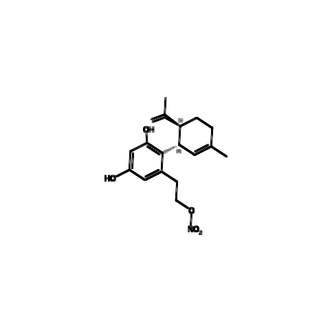 C=C(C)[C@H]1CCC(C)=C[C@@H]1c1c(O)cc(O)cc1CCO[N+](=O)[O-]